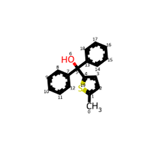 Cc1ccc(C(O)(c2ccccc2)c2ccccc2)s1